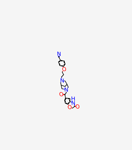 N#Cc1ccc(OCCCN2CC3CC(C2)CN(CC(=O)c2ccc4c(c2)NC(=O)CO4)C3)cc1